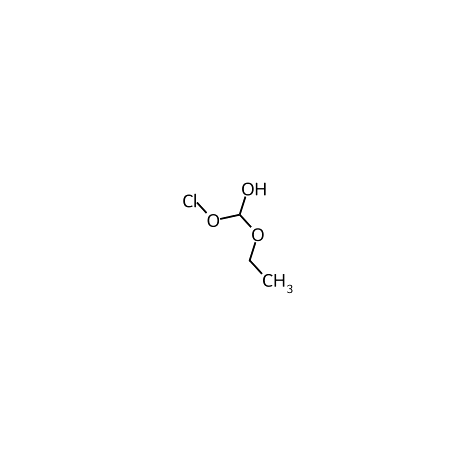 CCOC(O)OCl